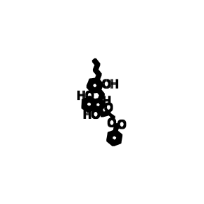 CCCCc1ccc(O)c(CC2c3ccccc3[C@]3(O)C[C@H](COC(=O)c4ccccc4)O[C@H]23)c1O